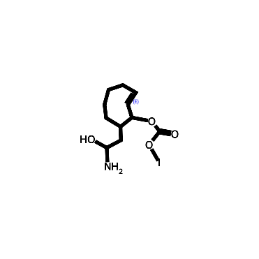 NC(O)CC1CCCC/C=C/C1OC(=O)OI